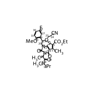 CCOC(=O)c1sc2c(c1C)c(=O)n(C(C)C(=O)N(C)C(C)C)c(=O)n2CC(OCCC#N)c1cc(F)ccc1OC